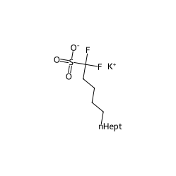 CCCCCCCCCCCC(F)(F)S(=O)(=O)[O-].[K+]